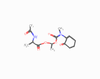 CC(OC(=O)C(C)NC(=O)C(F)(F)F)OC(=O)N(C)C1CCCCC1=O